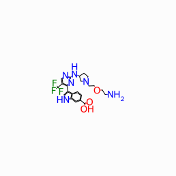 NCCOCCN1CCC(Nc2ncc(C(F)(F)F)c(-c3c[nH]c4cc(C(=O)O)ccc34)n2)C1